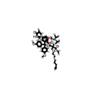 C#CCCCSSCOCC(COP(O[C@H]1C[C@H](n2cc(C)c(=O)[nH]c2=O)O[C@@H]1COC(c1ccccc1)(c1ccc(OC)cc1)c1ccc(OC)cc1)N(C(C)C)C(C)C)(C(=O)OCC)C(=O)OCC